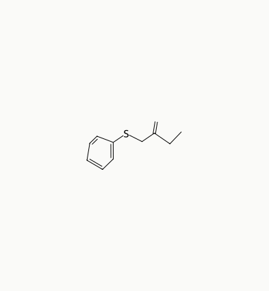 C=C(CC)CSc1ccccc1